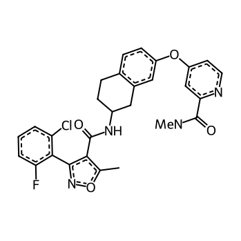 CNC(=O)c1cc(Oc2ccc3c(c2)CC(NC(=O)c2c(-c4c(F)cccc4Cl)noc2C)CC3)ccn1